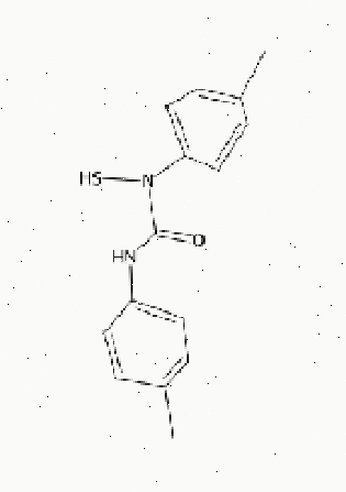 Cc1ccc(NC(=O)N(S)c2ccc(C)cc2)cc1